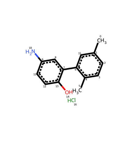 Cc1ccc(C)c(-c2cc(N)ccc2O)c1.Cl